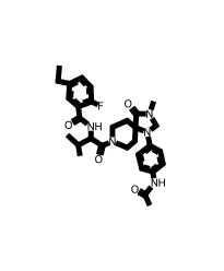 CCc1ccc(F)c(C(=O)NC(C(=O)N2CCC3(CC2)C(=O)N(C)CN3c2ccc(NC(C)=O)cc2)C(C)C)c1